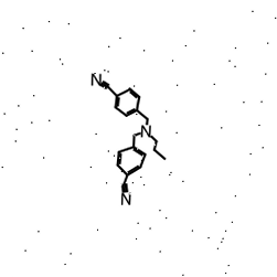 CCCN(Cc1ccc(C#N)cc1)Cc1ccc(C#N)cc1